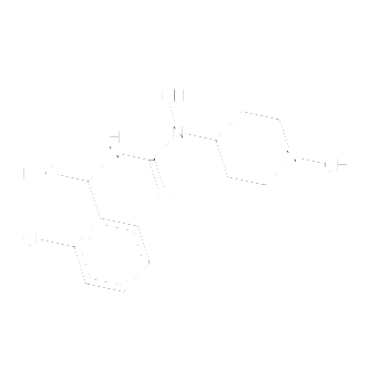 CC(NC(=O)N(C)C1CCN(C)CC1)c1ccccc1Cl